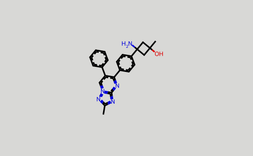 Cc1nc2nc(-c3ccc(C4(N)CC(C)(O)C4)cc3)c(-c3ccccc3)cn2n1